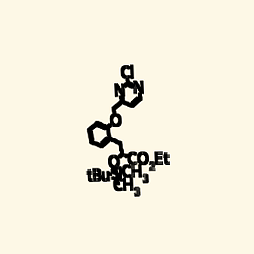 CCOC(=O)[C@H](Cc1ccccc1OCc1ccnc(Cl)n1)O[Si](C)(C)C(C)(C)C